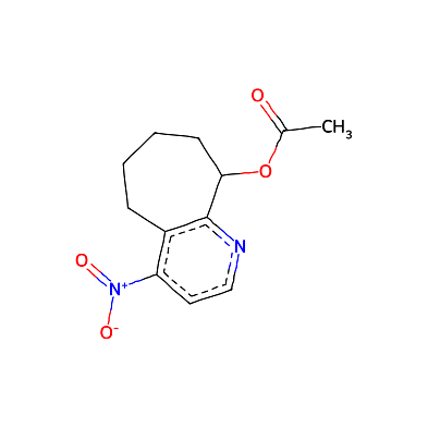 CC(=O)OC1CCCCc2c([N+](=O)[O-])ccnc21